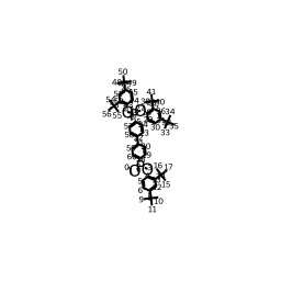 COP(Oc1ccc(C(C)(C)C)cc1C(C)(C)C)c1ccc(-c2ccc(P(Oc3ccc(C(C)(C)C)cc3C(C)(C)C)Oc3ccc(C(C)(C)C)cc3C(C)(C)C)cc2)cc1